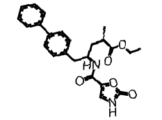 CCOC(=O)[C@H](C)CC(Cc1ccc(-c2ccccc2)cc1)NC(=O)c1c[nH]c(=O)o1